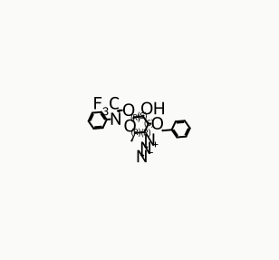 C[C@H]1O[C@H](OC(=Nc2ccccc2)C(F)(F)F)[C@@H](O)[C@@H](OCc2ccccc2)[C@@H]1N=[N+]=[N-]